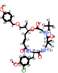 COc1ccc(COCC(C)[C@@H]2C/C=C/C(=O)N[C@H](Cc3ccc(OC)c(Cl)c3)C(=O)N[C@@H](C)C(C)(C)C(=O)N[C@@H](CC(C)(C)C)C(=O)O2)cc1